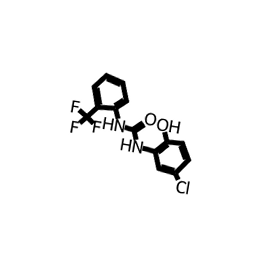 O=C(Nc1cc(Cl)ccc1O)Nc1ccccc1C(F)(F)F